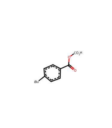 CCC(C)c1ccc(C(=O)OC(=O)O)cc1